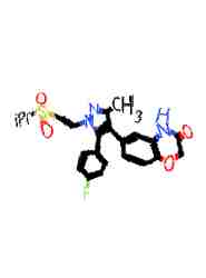 Cc1nn(CCS(=O)(=O)C(C)C)c(-c2ccc(F)cc2)c1-c1ccc2c(c1)NC(=O)CO2